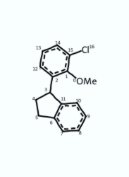 COc1c(C2CCc3ccccc32)[c]ccc1Cl